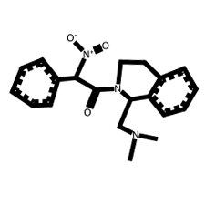 CN(C)CC1c2ccccc2CCN1C(=O)C(c1ccccc1)[N+](=O)[O-]